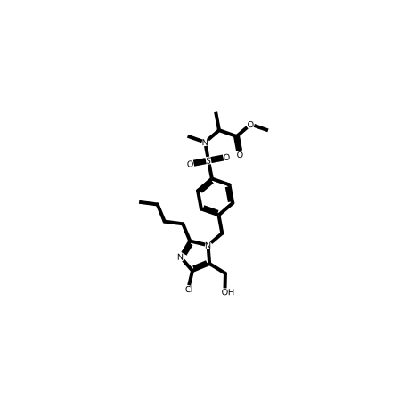 CCCCc1nc(Cl)c(CO)n1Cc1ccc(S(=O)(=O)N(C)C(C)C(=O)OC)cc1